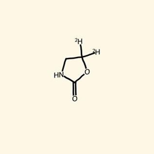 [2H]C1([2H])CNC(=O)O1